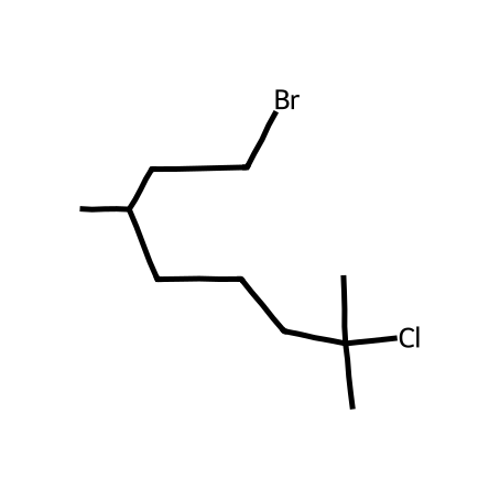 CC(CCBr)CCCC(C)(C)Cl